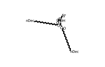 CCCCCCCCCCCCCCCCCCCCCCCCCC(=O)OC[C@H](COP(=O)(O)OCC[N+](C)(C)C)OC(=O)CCCCCCCCCCCCCCCCCCCCCCCCC